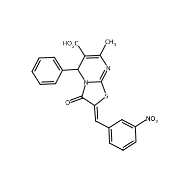 CC1=C(C(=O)O)C(c2ccccc2)n2c(s/c(=C\c3cccc([N+](=O)[O-])c3)c2=O)=N1